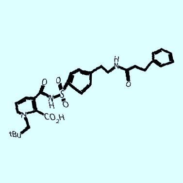 CC(C)(C)CN1CC=CC(C(=O)NS(=O)(=O)c2ccc(CCNC(=O)CCc3ccccc3)cc2)=C1C(=O)O